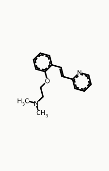 CN(C)CCOc1ccccc1C=Cc1ccccn1